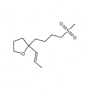 CC=CC1(CCCCS(C)(=O)=O)CCCO1